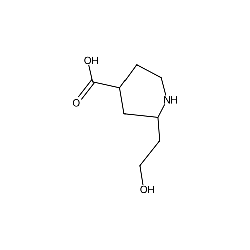 O=C(O)C1CCNC(CCO)C1